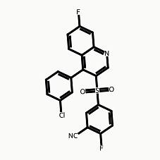 N#Cc1cc(S(=O)(=O)c2cnc3cc(F)ccc3c2-c2cccc(Cl)c2)ccc1F